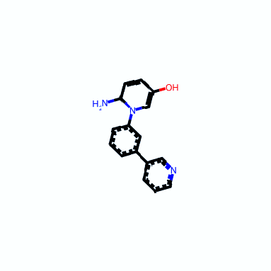 NC1C=CC(O)=CN1c1cccc(-c2cccnc2)c1